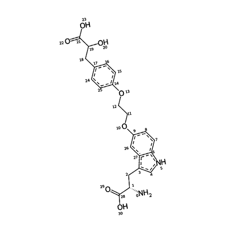 N[C@@H](Cc1c[nH]c2ccc(OCCOc3ccc(CC(O)C(=O)O)cc3)cc12)C(=O)O